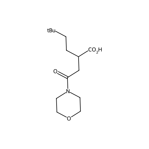 CC(C)(C)CCC(CC(=O)N1CCOCC1)C(=O)O